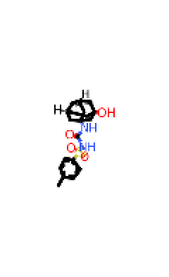 Cc1ccc(S(=O)(=O)NC(=O)NC23C[C@@H]4C[C@@H](CC(O)(C4)C2)C3)cc1